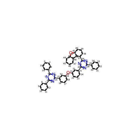 c1ccc(-c2nc(-c3ccccc3)nc(-c3cccc(Oc4cccc(-c5nc(-c6ccccc6)nc(-c6cccc7oc8ccccc8c67)n5)c4)c3)n2)cc1